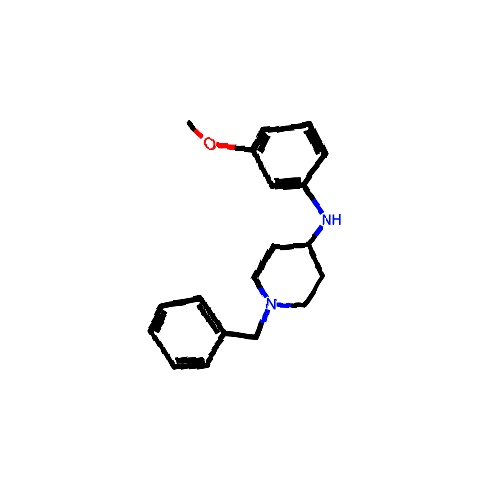 COc1cccc(NC2CCN(Cc3ccccc3)CC2)c1